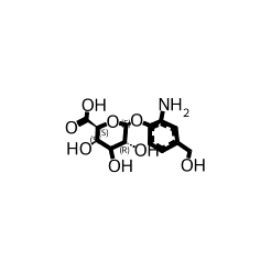 Nc1cc(CO)ccc1O[C@@H]1O[C@H](C(=O)O)[C@@H](O)C(O)[C@H]1O